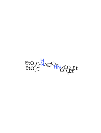 CCOC(=O)CC(NCC1CC2CC1C1C3CC(C21)C(C)(CNC(CC(=O)OCC)C(=O)OCC)C3)C(=O)OCC